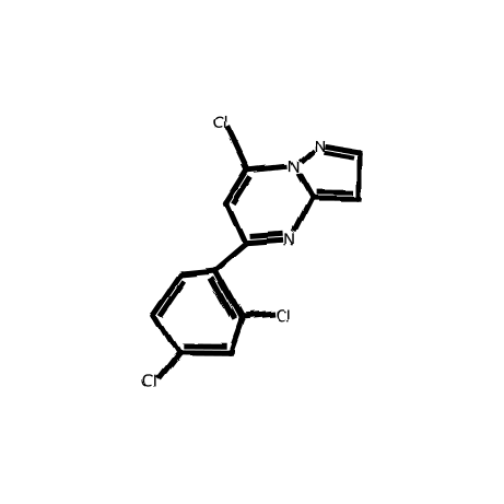 Clc1ccc(-c2cc(Cl)n3nccc3n2)c(Cl)c1